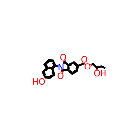 CCC(O)COC(=O)c1ccc2c(c1)C(=O)N(c1cccc3cc(O)ccc13)C2=O